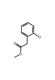 COC(=O)Cc1ccccc1[O]